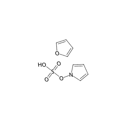 O=S(=O)(O)On1cccc1.c1ccoc1